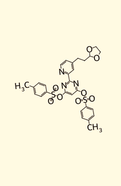 Cc1ccc(S(=O)(=O)Oc2cc(OS(=O)(=O)c3ccc(C)cc3)nc(-c3cc(CCC4OCCO4)ccn3)n2)cc1